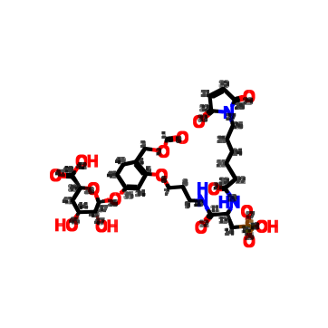 O=COCC1=C(OCCCNC(=O)[C@H](CS(=O)(=O)O)NC(=O)CCCCCN2C(=O)C=CC2=O)C=C(O[C@@H]2O[C@H](C(=O)O)C[C@H](O)[C@H]2O)CC1